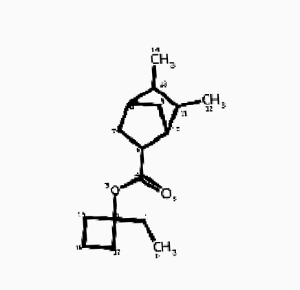 CCC1(OC(=O)C2CC3CC2C(C)C3C)CCC1